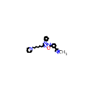 Cn1cc(-c2cccc(C(=O)Nc3nc(CCCCCCN4CCCCCC4)cn3-c3ccccc3)c2)cn1